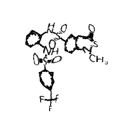 Cn1sc(=O)c2cc(S(=O)(=O)Nc3ccccc3NS(=O)(=O)c3ccc(C(F)(F)F)cc3)ccc21